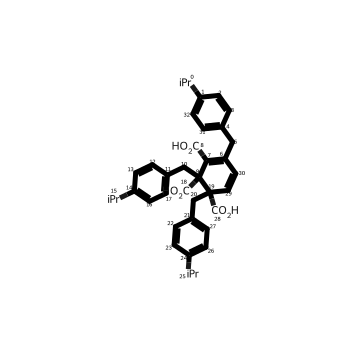 CC(C)c1ccc(CC2=C(C(=O)O)C(Cc3ccc(C(C)C)cc3)(C(=O)O)C(Cc3ccc(C(C)C)cc3)(C(=O)O)C=C2)cc1